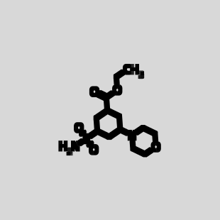 CCOC(=O)C1CC(N2CCOCC2)CC(S(N)(=O)=O)C1